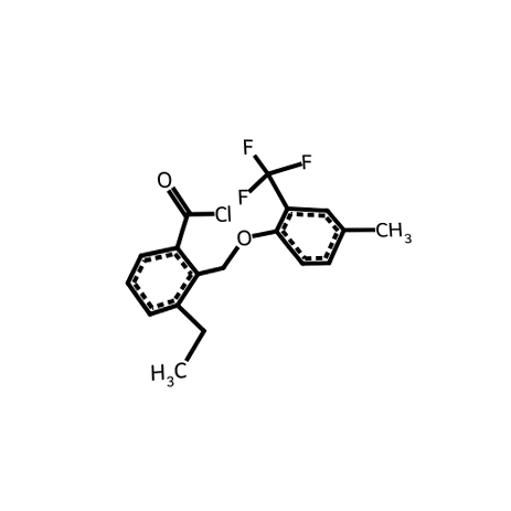 CCc1cccc(C(=O)Cl)c1COc1ccc(C)cc1C(F)(F)F